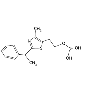 Cc1nc(C(C)c2ccccc2)sc1CCON(O)O